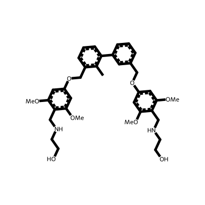 COc1cc(OCc2cccc(-c3cccc(COc4cc(OC)c(CNCCO)c(OC)c4)c3C)c2)cc(OC)c1CNCCO